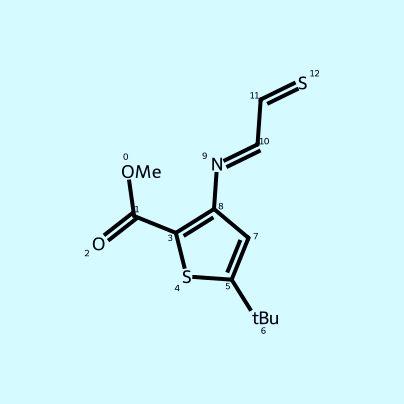 COC(=O)c1sc(C(C)(C)C)cc1N=CC=S